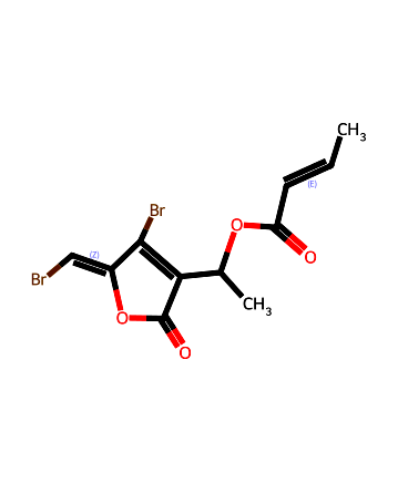 C/C=C/C(=O)OC(C)C1=C(Br)/C(=C/Br)OC1=O